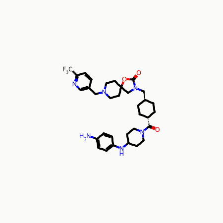 Nc1ccc(NC2CCN(C(=O)[C@H]3CC[C@H](CN4CC5(CCN(Cc6ccc(C(F)(F)F)nc6)CC5)OC4=O)CC3)CC2)cc1